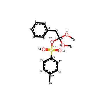 COC(Cc1ccccc1)(OC)OS(=O)(=O)c1ccc(C)cc1